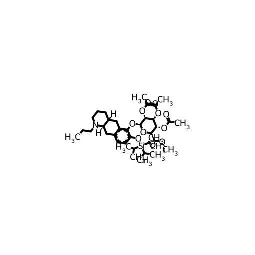 CCCN1CCC[C@@H]2Cc3c(ccc(O[Si](C(C)C)(C(C)C)C(C)C)c3O[C@@H]3O[C@H](C(=O)OC)[C@@H](OC(C)=O)[C@H](OC(C)=O)[C@H]3OC(C)=O)C[C@H]21